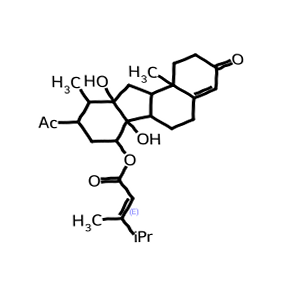 CC(=O)C1CC(OC(=O)/C=C(\C)C(C)C)C2(O)C3CCC4=CC(=O)CCC4(C)C3CC2(O)C1C